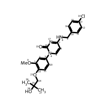 COc1cc(-n2ccc(NCc3ccc(Cl)cc3)nc2=O)ccc1OCC(C)(C)O